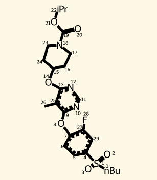 CCCCS(=O)(=O)c1ccc(Oc2ncnc(OC3CCN(C(=O)OC(C)C)CC3)c2C)c(F)c1